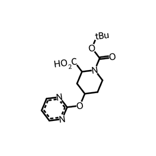 CC(C)(C)OC(=O)N1CCC(Oc2ncccn2)CC1C(=O)O